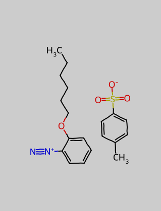 CCCCCCOc1ccccc1[N+]#N.Cc1ccc(S(=O)(=O)[O-])cc1